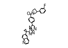 O=C(c1ccc(-c2cnc3nnc(C4(c5ccc6ncccc6c5)CC4)n3n2)cc1)N1CCC(c2cccc(F)c2)C1